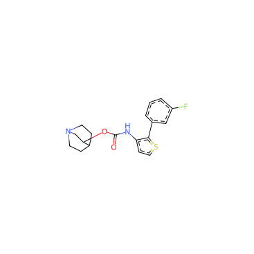 O=C(Nc1ccsc1-c1cccc(F)c1)OC1CN2CCC1CC2